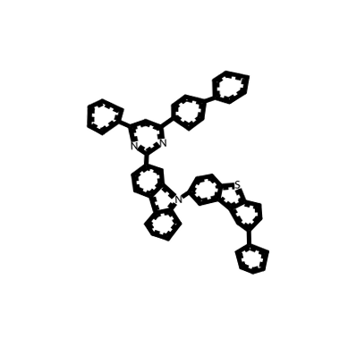 c1ccc(-c2ccc(-c3cc(-c4ccccc4)nc(-c4ccc5c6ccccc6n(-c6ccc7sc8ccc(-c9ccccc9)cc8c7c6)c5c4)n3)cc2)cc1